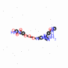 Nc1nccn2c(N3CCC4(CC3)CN(CCOCCOCCOc3ccc5c(c3)CN(C3CCC(=O)NC3=O)C5=O)C4)nc(-c3ccc(C(=O)Nc4ccccn4)cc3)c12